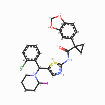 O=C(Nc1ncc(C(c2ccccc2Cl)N2CCCCC2I)s1)C1(c2ccc3c(c2)OCO3)CC1